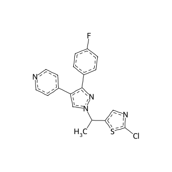 CC(c1cnc(Cl)s1)n1cc(-c2ccncc2)c(-c2ccc(F)cc2)n1